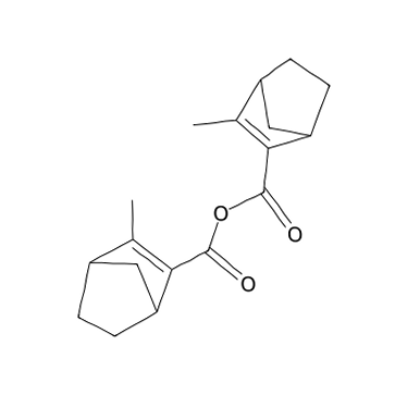 CC1=C(C(=O)OC(=O)C2=C(C)C3CCC2C3)C2CCC1C2